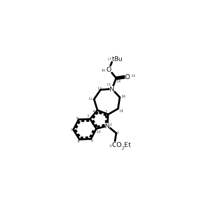 CCOC(=O)Cn1c2c(c3ccccc31)CCN(C(=O)OC(C)(C)C)CC2